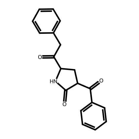 O=C(Cc1ccccc1)C1CC(C(=O)c2ccccc2)C(=O)N1